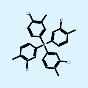 Cc1cc([B-](c2ccc(C)c(Cl)c2)(c2ccc(C)c(Cl)c2)c2ccc(C)c(Cl)c2)ccc1Cl